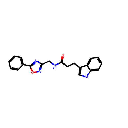 O=C(CCc1c[nH]c2ccccc12)NCc1noc(-c2ccccc2)n1